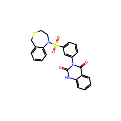 O=c1[nH]c2ccccc2c(=O)n1-c1cccc(S(=O)(=O)N2CCSCc3ccccc32)c1